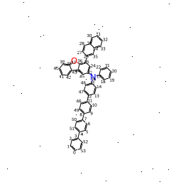 c1ccc(-c2ccc(-c3ccc(-c4ccc(N(c5ccccc5)c5cc(-c6ccc7ccccc7c6)c6oc7ccccc7c6c5)cc4)cc3)cc2)cc1